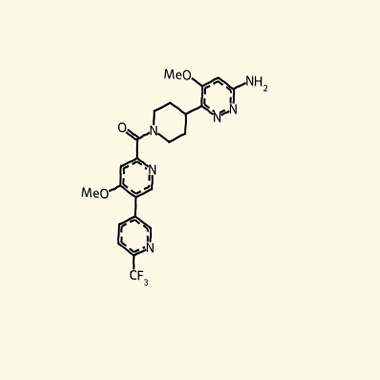 COc1cc(C(=O)N2CCC(c3nnc(N)cc3OC)CC2)ncc1-c1ccc(C(F)(F)F)nc1